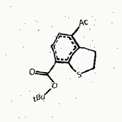 CC(=O)c1ccc(C(=O)OC(C)(C)C)c2c1CCS2